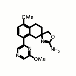 COc1cncc(-c2ccc(OC)c3c2CC2(CC3)COC(N)=N2)n1